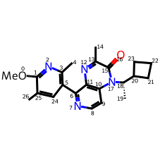 COc1nc(C)c(-c2nccc3c2nc(C)c(=O)n3[C@@H](C)C2CCC2)cc1C